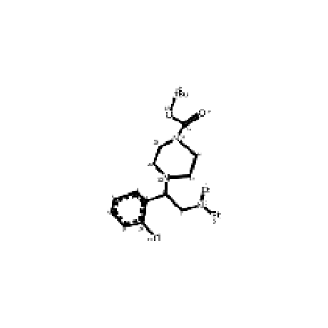 CCN(CC)CC(c1ccccc1Cl)N1CCN(C(=O)OC(C)(C)C)CC1